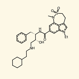 CCn1cc2c3c(cc(C(=O)N[C@@H](Cc4ccccc4)[C@H](O)CNCCC4CCCCC4)cc31)N(C)S(=O)(=O)CC2